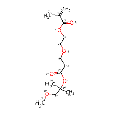 C=C(C)C(=O)OCCOCCC(=O)OC(C)(C)COC